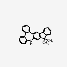 CC1(C)c2ccccc2-c2cc3c(cc21)Nc1ccccc1-c1ccccc1-3